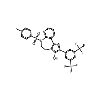 Cc1ccc(S(=O)(=O)N2CCc3c(nn(-c4cc(C(F)(F)F)cc(C(F)(F)F)c4)c3O)-c3cccnc32)cc1